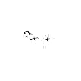 CC1(CO[Si](C)(C)C(C)(C)C)Cn2nccc2O1